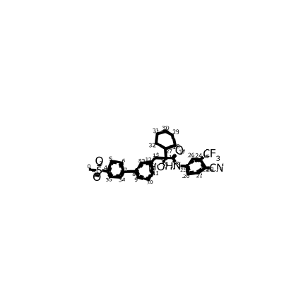 CS(=O)(=O)c1ccc(-c2cccc(CC(O)(C(=O)Nc3ccc(C#N)c(C(F)(F)F)c3)C3CCCCC3)c2)cc1